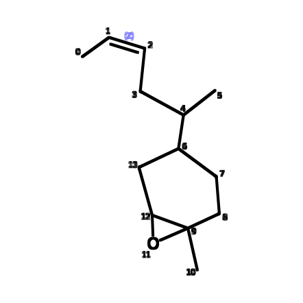 C/C=C\CC(C)C1CCC2(C)OC2C1